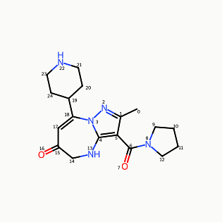 Cc1nn2c(c1C(=O)N1CCCC1)NCC(=O)C=C2C1CCNCC1